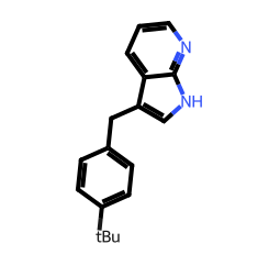 CC(C)(C)c1ccc(Cc2c[nH]c3ncccc23)cc1